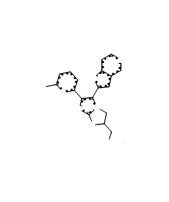 Cc1cccc(-c2nc3n(c2-c2cc4cnccc4s2)CC(CC(=O)O)N3)n1